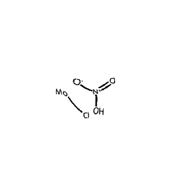 O=[N+]([O-])O.[Cl][Mo]